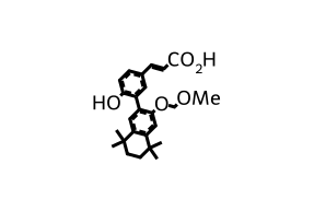 COCOc1cc2c(cc1-c1cc(C=CC(=O)O)ccc1O)C(C)(C)CCC2(C)C